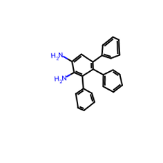 Nc1cc(-c2ccccc2)c(-c2ccccc2)c(-c2ccccc2)c1N